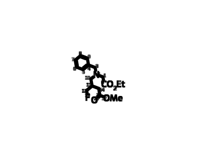 CCOC(=O)CN(Cc1ccccc1)CC(CF)CC(=O)OC